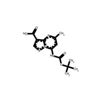 Cc1cc(NC(=O)OC(C)(C)C)n2ncc(C(=O)O)c2n1